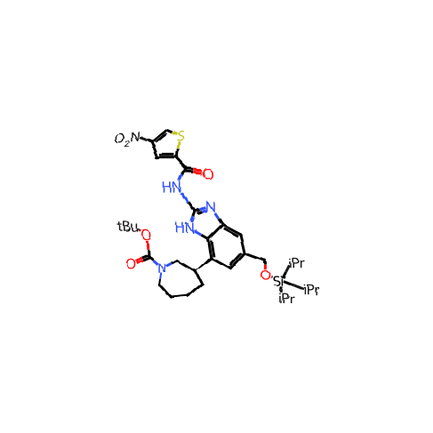 CC(C)[Si](OCc1cc([C@H]2CCCCN(C(=O)OC(C)(C)C)C2)c2[nH]c(NC(=O)c3cc([N+](=O)[O-])cs3)nc2c1)(C(C)C)C(C)C